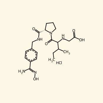 CCC(C)C(NCC(=O)O)C(=O)N1CCC[C@H]1C(=O)NCc1ccc(C(N)=NO)cc1.Cl